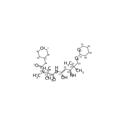 CN(C(=O)CC1CCOCC1)C(C)(C)C(=O)N/C(O)=C/C(=N)C(C)(C)COC1CCCCO1